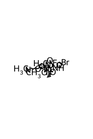 CN(C)CCCOc1cccc(-n2c(=O)n(C3CC3)c(=O)c3c(Nc4ccc(Br)cc4F)cc(=O)n(C)c32)c1